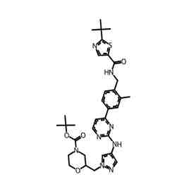 Cc1cc(-c2ccnc(Nc3cnn(CC4CN(C(=O)OC(C)(C)C)CCO4)c3)n2)ccc1CNC(=O)c1cnc(C(C)(C)C)s1